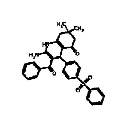 CC1(C)CC(=O)C2=C(C1)NC(N)=C(C(=O)c1ccccc1)C2c1ccc(S(=O)(=O)c2ccccc2)cc1